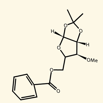 CO[C@H]1C(COC(=O)c2ccccc2)O[C@@H]2OC(C)(C)O[C@@H]21